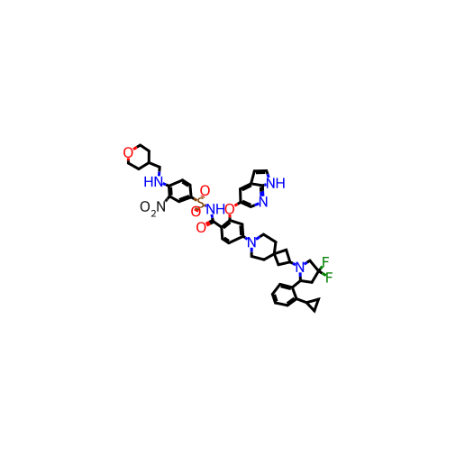 O=C(NS(=O)(=O)c1ccc(NCC2CCOCC2)c([N+](=O)[O-])c1)c1ccc(N2CCC3(CC2)CC(N2CC(F)(F)CC2c2ccccc2C2CC2)C3)cc1Oc1cnc2[nH]ccc2c1